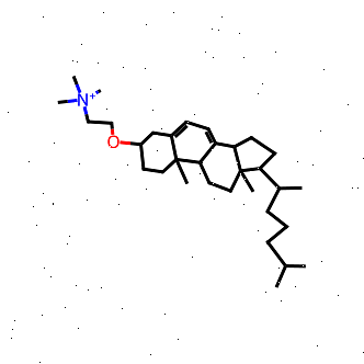 CC(C)CCCC(C)C1CCC2C3=CC=C4CC(OCC[N+](C)(C)C)CCC4(C)C3CCC21C